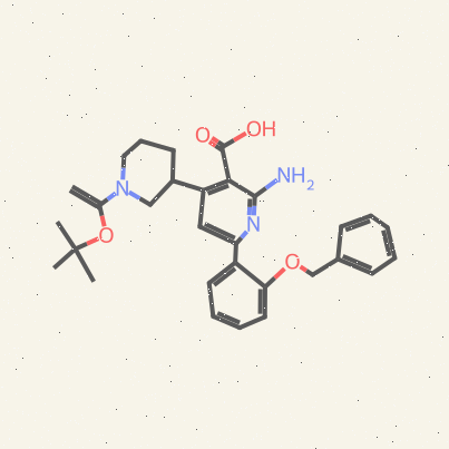 C=C(OC(C)(C)C)N1CCCC(c2cc(-c3ccccc3OCc3ccccc3)nc(N)c2C(=O)O)C1